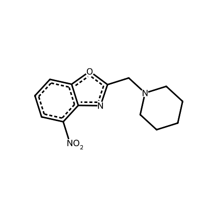 O=[N+]([O-])c1cccc2oc(CN3CCCCC3)nc12